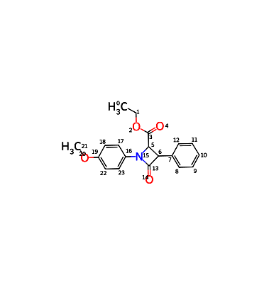 CCOC(=O)C1C(c2ccccc2)C(=O)N1c1ccc(OC)cc1